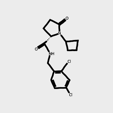 O=C(NCc1ccc(Cl)cc1Cl)[C@@H]1CCC(=O)N1C1CCC1